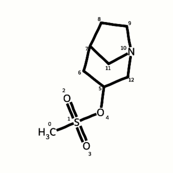 CS(=O)(=O)OC1CC2CCN(C2)C1